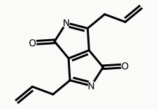 C=CCc1nc(=O)c2c(CC=C)nc(=O)c1=2